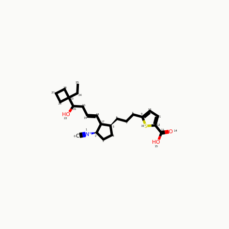 [C-]#[N+][C@@H]1CC[C@H](CCCc2ccc(C(=O)O)s2)C1/C=C/CC(O)C1(CC)CCC1